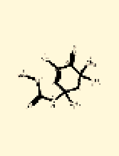 CCCCOC(=O)NC1(C)C=C(C#N)C(=O)C(C)(C)C1